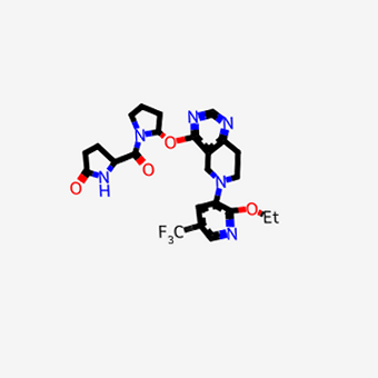 CCOc1ncc(C(F)(F)F)cc1N1CCc2ncnc(OC3CCCN3C(=O)C3CCC(=O)N3)c2C1